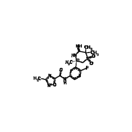 Cc1noc(C(=O)Nc2ccc(F)c([C@]3(C)CS(=O)(=O)C(C)(C)C(=N)N3)c2)n1